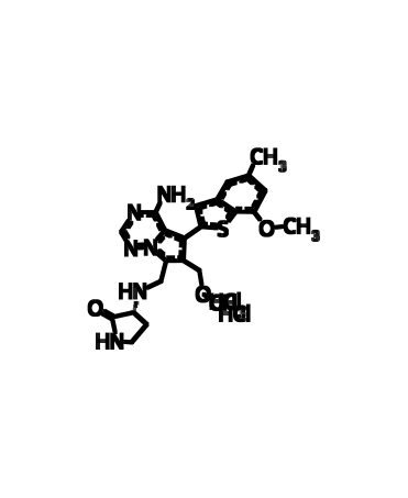 COCc1c(-c2cc3cc(C)cc(OC)c3s2)c2c(N)ncnn2c1CN[C@@H]1CCNC1=O.Cl.Cl